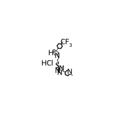 Cc1ccc(-c2nnc(SCCCN3C[C@@H]4C[C@]4(c4ccc(C(F)(F)F)cc4)C3)n2C)cn1.Cl